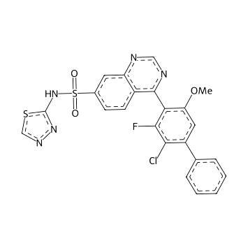 COc1cc(-c2ccccc2)c(Cl)c(F)c1-c1ncnc2cc(S(=O)(=O)Nc3nncs3)ccc12